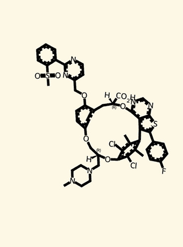 Cc1c(Cl)c2c(Cl)c(C)c1-c1c(-c3ccc(F)cc3)sc3ncnc(c13)O[C@@H](C(=O)O)Cc1cc(ccc1OCc1ccnc(-c3ccccc3S(C)(=O)=O)n1)OC[C@@H](CN1CCN(C)CC1)O2